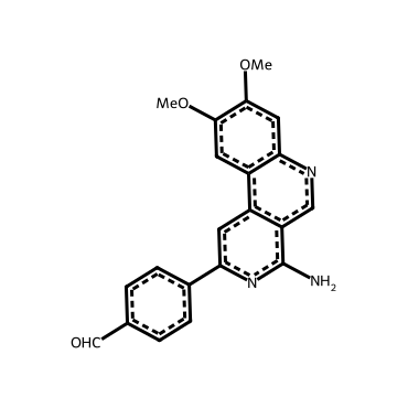 COc1cc2ncc3c(N)nc(-c4ccc(C=O)cc4)cc3c2cc1OC